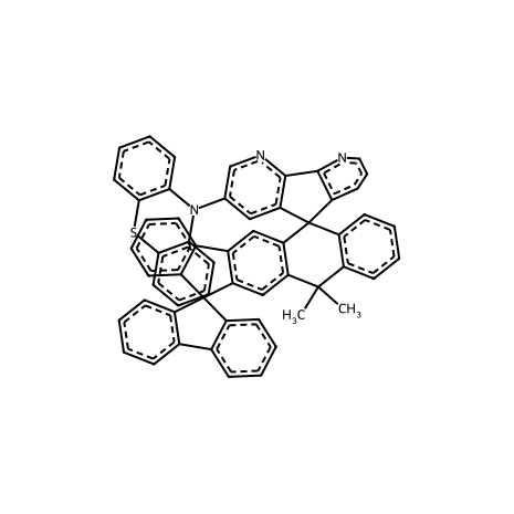 CC1(C)c2ccccc2C2(c3cc4c(cc31)C1(c3ccccc3-c3ccccc31)c1ccccc1-4)c1cccnc1-c1ncc(N3c4ccccc4Sc4ccccc43)cc12